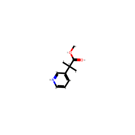 COC(=O)C(C)(C)c1cccnc1